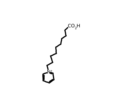 O=C(O)CCCCCCCCC[n+]1ccccc1